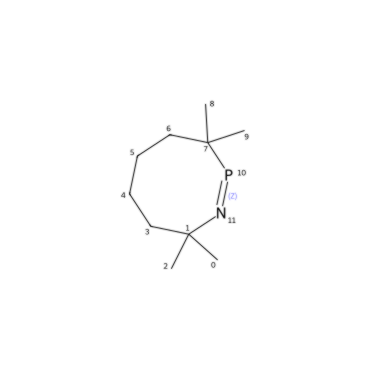 CC1(C)CCCCC(C)(C)/P=N\1